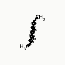 CCCCCC1CCC(c2ccc(C3CCC(c4ccc(C5CCC(CCCC)CC5)c(F)c4)CC3)c(F)c2)CC1